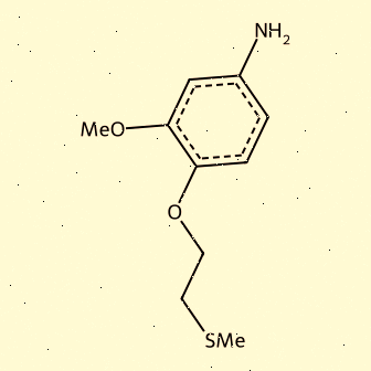 COc1cc(N)ccc1OCCSC